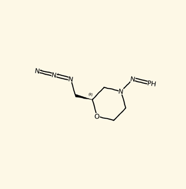 [N-]=[N+]=NC[C@H]1CN(N=P)CCO1